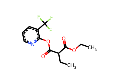 CCOC(=O)C(CC)C(=O)Oc1ncccc1C(F)(F)F